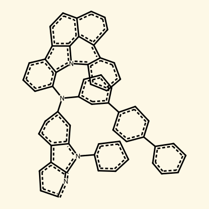 c1ccc(-c2ccc(-c3cccc(N(c4ccc5c6cccnc6n(-c6ccccc6)c5c4)c4cccc5c6ccc7cccc8c9ccccc9n(c45)c6c78)c3)cc2)cc1